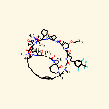 CCO[C@@H]1C[C@H]2C(=O)NC3(CCC3)C(=O)N(C)[C@@H](C3CCCC3)C(=O)N(C)[C@H](C(=O)N(C)CC)CC(=O)N(C)[C@H]3CCCC/C=C\c4ccc(cc4)C[C@@H](C(=O)N(C)CC(=O)N[C@@H](CCc4cc(F)c(C(F)(F)F)c(F)c4)C(=O)N2C1)N1CC/C=C\C[C@@H](C1=O)N(C)C(=O)CN(C)C(=O)[C@H]([C@@H](C)CC)NC3=O